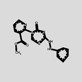 COC(=O)c1cccnc1-n1cnc(NNc2ccccc2)nc1=O